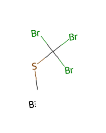 CSC(Br)(Br)Br.[B]